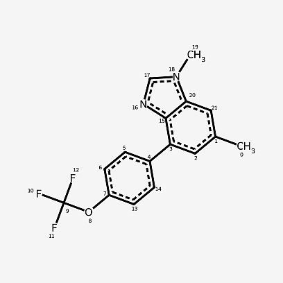 Cc1cc(-c2ccc(OC(F)(F)F)cc2)c2ncn(C)c2c1